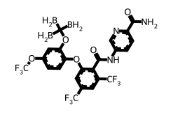 BC(B)(B)Oc1cc(OC(F)(F)F)ccc1Oc1cc(C(F)(F)F)cc(C(F)(F)F)c1C(=O)Nc1ccc(C(N)=O)nc1